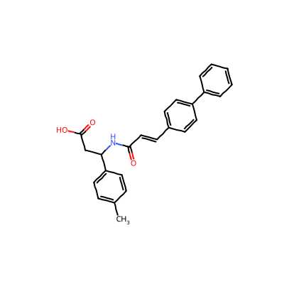 Cc1ccc(C(CC(=O)O)NC(=O)/C=C/c2ccc(-c3ccccc3)cc2)cc1